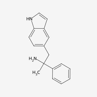 CC(N)(Cc1ccc2[nH]ccc2c1)c1ccccc1